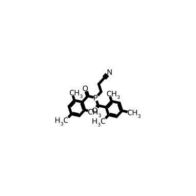 Cc1cc(C)c(C(=O)P(CCC#N)C(=O)c2c(C)cc(C)cc2C)c(C)c1